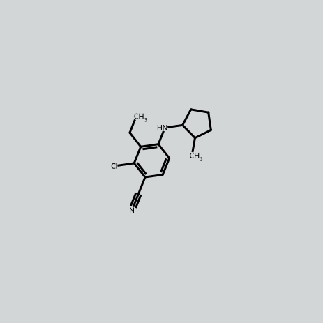 CCc1c(NC2CCCC2C)ccc(C#N)c1Cl